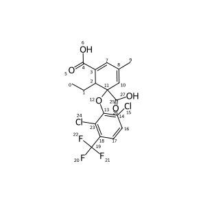 CCC1C(C(=O)O)=CC(C)=CC1(Oc1c(Cl)ccc(C(F)(F)F)c1Cl)C(=O)O